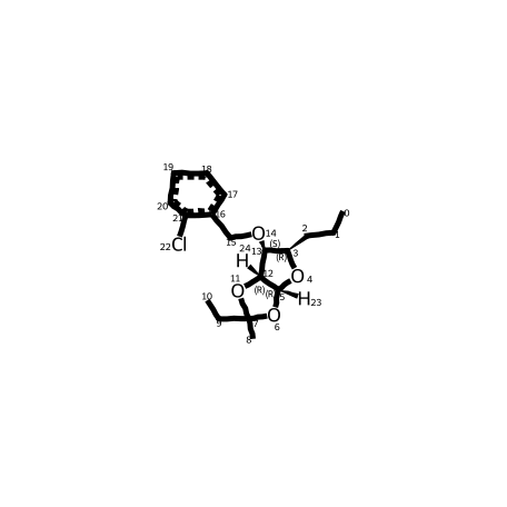 CCC[C@H]1O[C@@H]2OC(C)(CC)O[C@@H]2[C@H]1OCc1ccccc1Cl